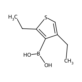 CCc1csc(CC)c1B(O)O